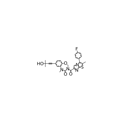 Cc1sc2nc(C(=O)N3COc4ccc(C#CC(C)(C)O)cc4N(C)C3=O)cn2c1-c1ccc(F)cc1